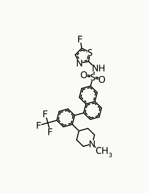 CN1CCC(c2cc(C(F)(F)F)ccc2-c2cccc3cc(S(=O)(=O)Nc4ncc(F)s4)ccc23)CC1